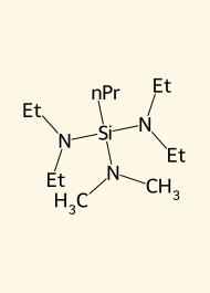 CCC[Si](N(C)C)(N(CC)CC)N(CC)CC